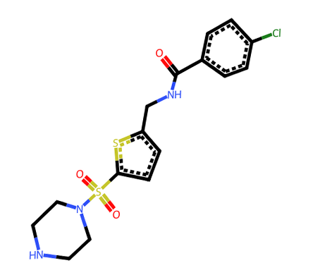 O=C(NCc1ccc(S(=O)(=O)N2CCNCC2)s1)c1ccc(Cl)cc1